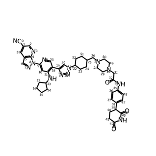 N#Cc1cnc2c(cnn2-c2cc(NC3CCCC3)c(-c3cn(C4CCC(CN5CCN(CC(=O)Nc6ccc(C7CCC(=O)NC7=O)cc6)CC5)CC4)nn3)cn2)c1